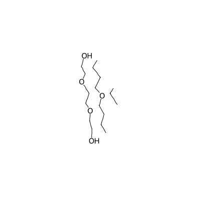 CCC.CCCCOCCCC.OCCOCCOCCO